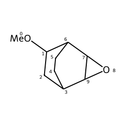 COC1CC2CCC1C1OC21